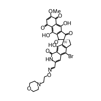 COC1=CC(=O)c2c(O)c3c(c(O)c2C1=O)C(=O)[C@]1(CCc2c1c(O)c1c(=O)[nH]c(C=NOCCN4CCOCC4)cc1c2Br)C3=O